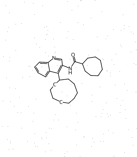 O=C(Nc1cnc2ccccc2c1C1CCCCCCCCC1)C1CCCCCCC1